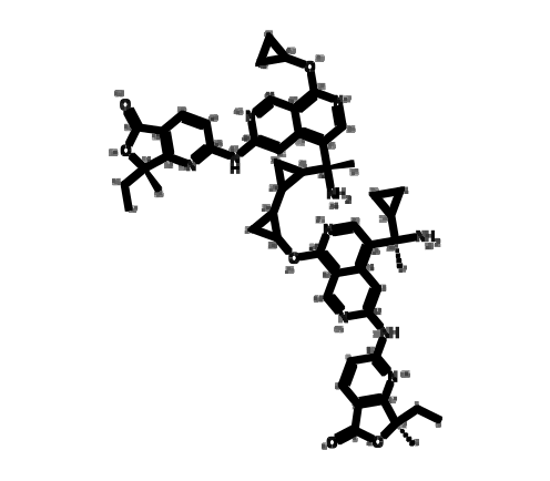 CC[C@@]1(C)OC(=O)c2ccc(Nc3cc4c([C@](C)(N)C5CC5)cnc(OC5CC5C5CC5[C@@](C)(N)c5cnc(OC6CC6)c6cnc(Nc7ccc8c(n7)[C@](C)(CC)OC8=O)cc56)c4cn3)nc21